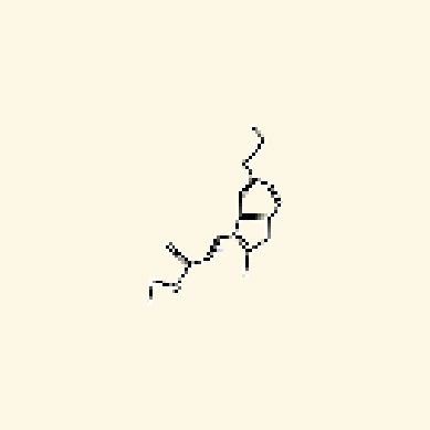 CCOC(=O)/C=C/C1=C(C)Cc2ccc(OCC)cc21